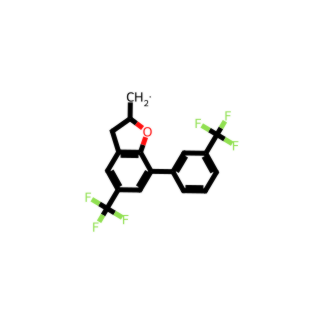 [CH2]C1Cc2cc(C(F)(F)F)cc(-c3cccc(C(F)(F)F)c3)c2O1